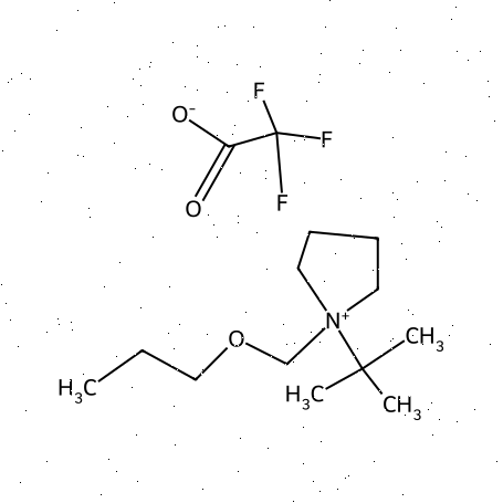 CCCOC[N+]1(C(C)(C)C)CCCC1.O=C([O-])C(F)(F)F